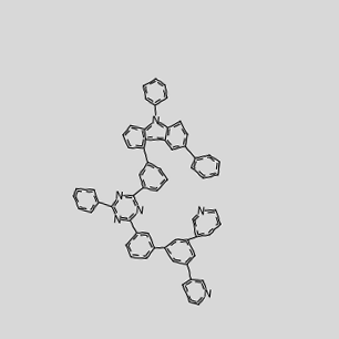 c1ccc(-c2ccc3c(c2)c2c(-c4cccc(-c5nc(-c6ccccc6)nc(-c6cccc(-c7cc(-c8cccnc8)cc(-c8cccnc8)c7)c6)n5)c4)cccc2n3-c2ccccc2)cc1